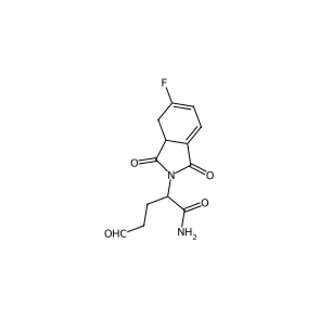 NC(=O)C(CCC=O)N1C(=O)C2=CC=C(F)CC2C1=O